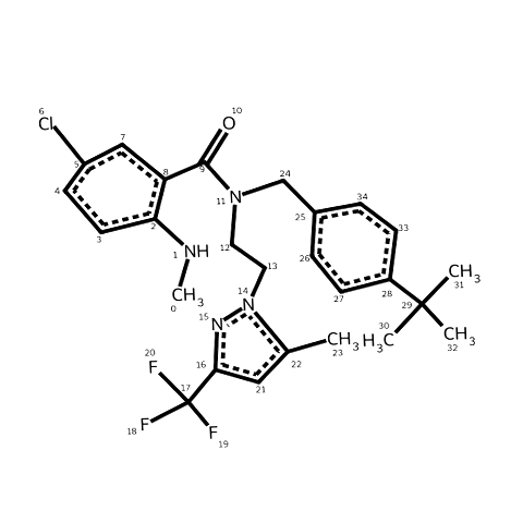 CNc1ccc(Cl)cc1C(=O)N(CCn1nc(C(F)(F)F)cc1C)Cc1ccc(C(C)(C)C)cc1